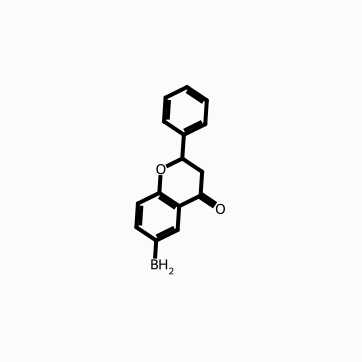 Bc1ccc2c(c1)C(=O)CC(c1ccccc1)O2